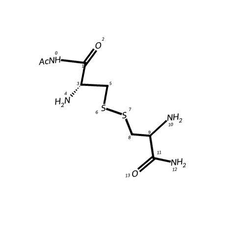 CC(=O)NC(=O)[C@@H](N)CSSCC(N)C(N)=O